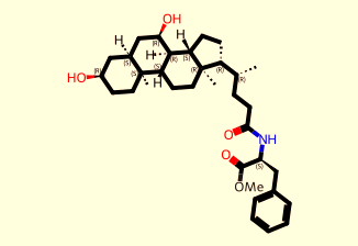 COC(=O)[C@H](Cc1ccccc1)NC(=O)CC[C@@H](C)[C@H]1CC[C@H]2[C@@H]3[C@H](O)C[C@@H]4C[C@H](O)CC[C@]4(C)[C@H]3CC[C@]12C